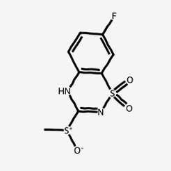 C[S+]([O-])C1=NS(=O)(=O)c2cc(F)ccc2N1